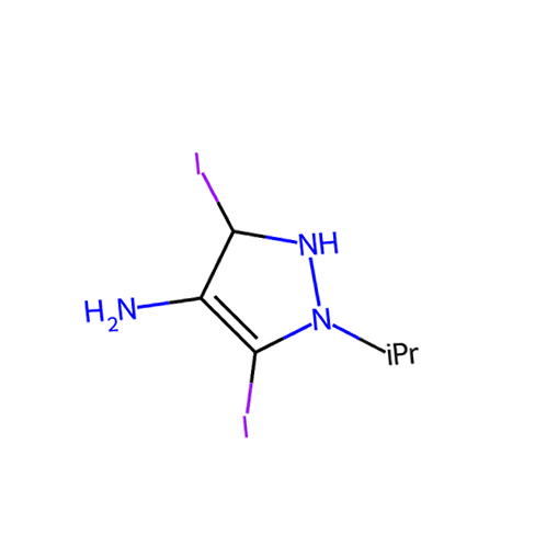 CC(C)N1NC(I)C(N)=C1I